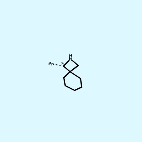 CC(C)[C@@H]1NCC12CCCCC2